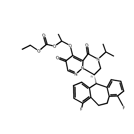 CCOC(=O)OC(C)Oc1c2n(ncc1=O)[C@@H](C1c3cccc(F)c3CCc3c(F)cccc31)CN(C(C)C)C2=O